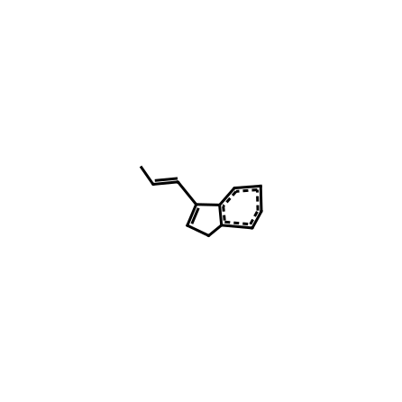 CC=CC1=CCc2ccccc21